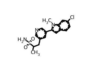 CC(Cc1cncc(-c2cc3ccc(Cl)cc3n2C)c1)S(N)(=O)=O